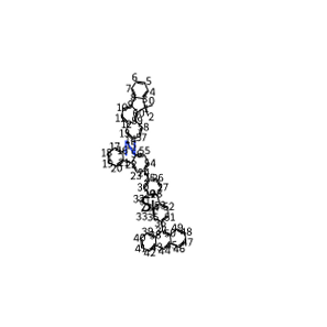 CC1(C)c2ccccc2-c2ccc3cc(-n4c5ccccc5c5cc(-c6ccc7c(c6)[Si](C)(C)c6cc(-c8c9ccccc9cc9ccccc89)ccc6-7)ccc54)ccc3c21